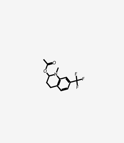 CC(=O)OC1CCc2ccc(C(F)(F)F)cc2N1C